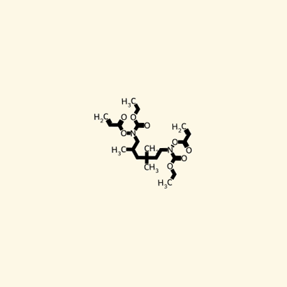 C=CC(=O)ON(CCC(C)(C)CC(C)CN(OC(=O)C=C)C(=O)OCC)C(=O)OCC